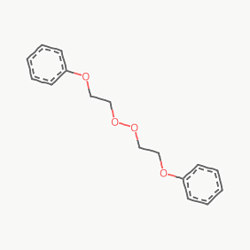 c1ccc(OCCOOCCOc2ccccc2)cc1